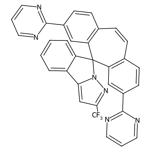 FC(F)(F)c1cc2n(n1)C1(c3cc(-c4ncccn4)ccc3C=Cc3ccc(-c4ncccn4)cc31)c1ccccc1-2